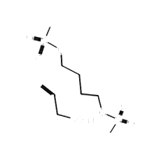 C=CCS(=O)(=O)O.CS(=O)(=O)OCCCCOS(C)(=O)=O